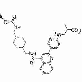 CC(CNc1ccc(-c2cc(C(=O)NCC3CCC(CNC(=O)OC(C)(C)C)CC3)c3ccccc3n2)cn1)C(=O)O